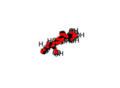 Cc1cc(N=Nc2ccc3c(S(=O)(=O)O)c(N=Nc4c(-c5ccccc5)nn(-c5cc(S(=O)(=O)O)c6cc(S(=O)(=O)O)cc(S(=O)(=O)O)c6c5)c4O)ccc3c2O)c(OCCCCS(=O)(=O)O)cc1N=Nc1nc2ccccc2s1